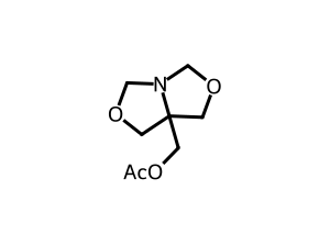 CC(=O)OCC12COCN1COC2